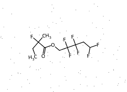 CCC(C)(F)C(=O)OCC(F)(F)C(F)(F)CC(F)F